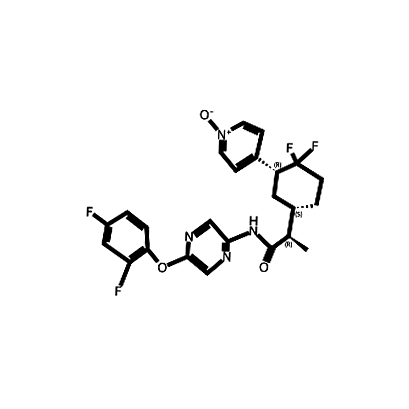 C[C@@H](C(=O)Nc1cnc(Oc2ccc(F)cc2F)cn1)[C@H]1CCC(F)(F)[C@@H](c2cc[n+]([O-])cc2)C1